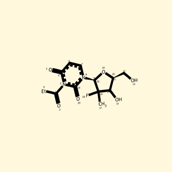 CCC(=O)n1c(=O)ccn([C@H]2O[C@@H](CO)C(O)C2(C)F)c1=O